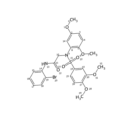 COc1ccc(OC)c(N(CC(=O)Nc2ccccc2Br)S(=O)(=O)c2ccc(OC)c(OC)c2)c1